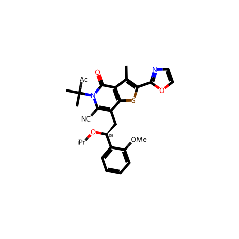 COc1ccccc1[C@H](Cc1c(C#N)n(C(C)(C)C(C)=O)c(=O)c2c(C)c(-c3ncco3)sc12)OC(C)C